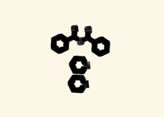 O=C(OC(=O)c1ccccc1)c1ccccc1.c1ccncc1.c1ccncc1